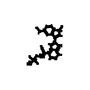 COc1ccc2c(c1)c(-c1cc3c(C(=O)NCC(C)(C)O)ccnc3[nH]1)cn2C